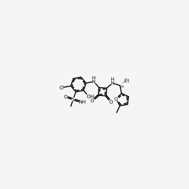 CC[C@@H](Nc1c(Nc2ccc(Cl)c(S(C)(=N)=O)c2O)c(=O)c1=O)c1ccc(C)o1